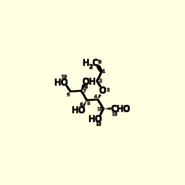 C=CCO[C@@H]([C@H](O)[C@H](O)CO)[C@@H](O)C=O